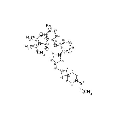 CCSN1CCC2(CC1)CN(C[C@@H]1CCN(c3ncncc3Oc3ccc(F)cc3C(=O)N(C(C)C)C(C)C)C1)C2